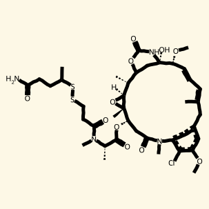 COc1cc2cc(c1Cl)N(C)C(=O)C[C@H](OC(=O)[C@H](C)N(C)C(=O)CCSSC(C)CCC(N)=O)[C@]1(C)O[C@H]1[C@H](C)C1C[C@@](O)(NC(=O)O1)[C@H](OC)/C=C/C=C(\C)C2